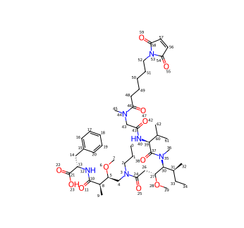 CCCN(C[C@H](OC)[C@@H](C)C(=O)N[C@@H](Cc1ccccc1)C(=O)O)C(=O)C[C@@H](OC)[C@H]([C@@H](C)CC)N(C)C(=O)[C@@H](NC(=O)CN(C)C(=O)CCCCCN1C(=O)C=CC1=O)C(C)C